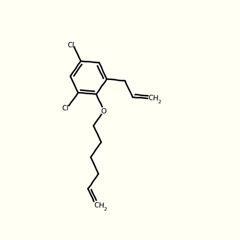 C=CCCCCOc1c(Cl)cc(Cl)cc1CC=C